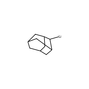 [Li][CH]1C2CC3CC(C2)CC1C3